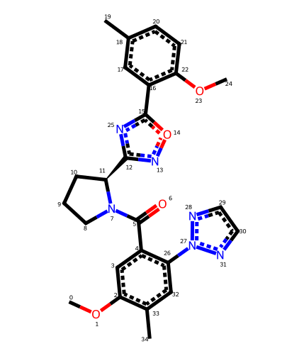 COc1cc(C(=O)N2CCC[C@H]2c2noc(-c3cc(C)ccc3OC)n2)c(-n2nccn2)cc1C